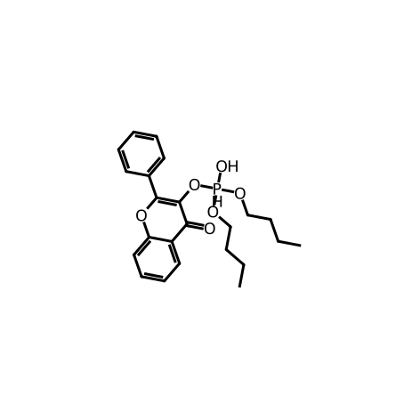 CCCCO[PH](O)(OCCCC)Oc1c(-c2ccccc2)oc2ccccc2c1=O